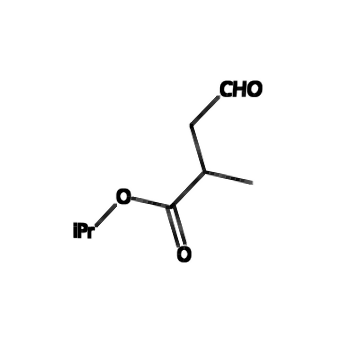 [CH2]C([CH2])OC(=O)C(C)CC=O